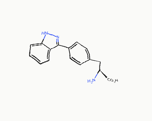 N[C@@H](Cc1ccc(-c2n[nH]c3ccccc23)cc1)C(=O)O